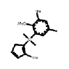 COc1c(C(C)(C)C)cc(C)cc1[Si](C)(C)C1=C(C(C)(C)C)C=CC1